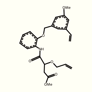 C=CCOC(CC(=O)OC)C(=O)Nc1ccccc1OCc1cc(C=C)cc(OC)c1